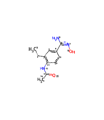 CCc1cc(/C(N)=N\O)ccc1NC(C)=O